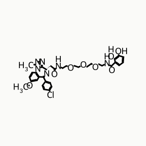 COc1ccc2c(c1)C(c1ccc(Cl)cc1)=N[C@@H](CC(=O)NCCOCCOCCOCCNC(=O)c1cccc(O)c1O)c1nnc(C)n1-2